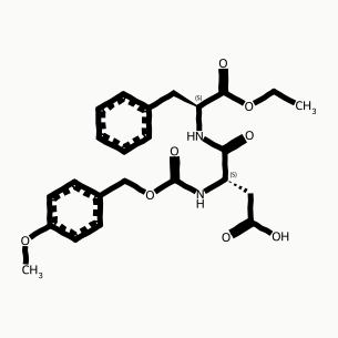 CCOC(=O)[C@H](Cc1ccccc1)NC(=O)[C@H](CC(=O)O)NC(=O)OCc1ccc(OC)cc1